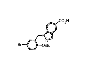 CC(C)COc1ccc(Br)cc1Cn1ncc2cc(C(=O)O)ccc21